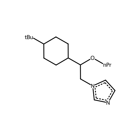 CCCOC(Cn1ccnc1)C1CCC(C(C)(C)C)CC1